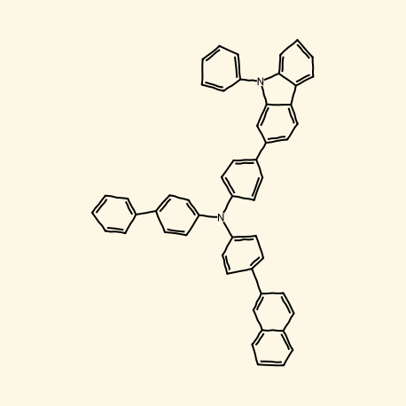 c1ccc(-c2ccc(N(c3ccc(-c4ccc5ccccc5c4)cc3)c3ccc(-c4ccc5c6ccccc6n(-c6ccccc6)c5c4)cc3)cc2)cc1